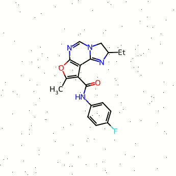 CCC1CN2C=Nc3oc(C)c(C(=O)Nc4ccc(F)cc4)c3C2=N1